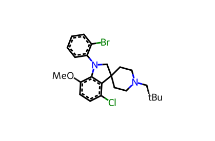 COc1ccc(Cl)c2c1N(c1ccccc1Br)CC21CCN(CC(C)(C)C)CC1